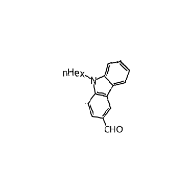 CCCCCCn1c2[c]cc(C=O)cc2c2ccccc21